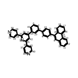 c1cc(-c2ccc(-c3cc4ccccc4c4ccccc34)cc2)cc(-c2cc(-c3ccncc3)nc(-c3ccncc3)c2)c1